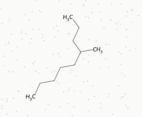 CCCCC[C](C)CCC